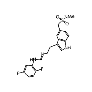 CNS(=O)(=O)Cc1ccc2[nH]cc(CCN=CNc3cc(F)ccc3F)c2c1